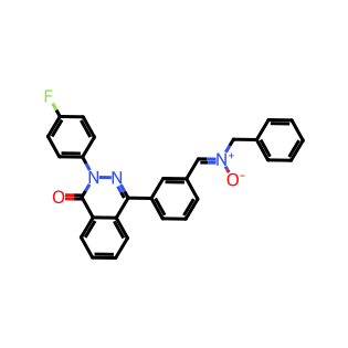 O=c1c2ccccc2c(-c2cccc(/C=[N+](\[O-])Cc3ccccc3)c2)nn1-c1ccc(F)cc1